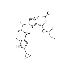 C=C(Nc1cc(C2CC2)[nH]c1C)[C@H](C)c1cn2cc(Cl)cc(OC(F)CC)c2n1